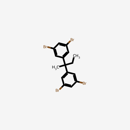 CCC(C)(c1cc(Br)cc(Br)c1)c1cc(Br)cc(Br)c1